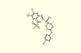 C[C@@H]1CN(Cc2ccc(F)cc2)CCN1C(=O)/C=C/c1cc(F)c(Cl)cc1NS(C)(=O)=O